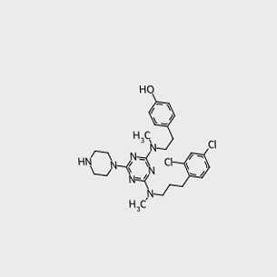 CN(CCCc1ccc(Cl)cc1Cl)c1nc(N(C)CCc2ccc(O)cc2)nc(N2CCNCC2)n1